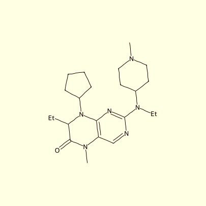 CCC1C(=O)N(C)c2cnc(N(CC)C3CCN(C)CC3)nc2N1C1CCCC1